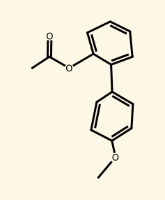 COc1ccc(-c2ccccc2OC(C)=O)cc1